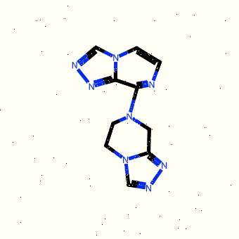 [CH]1c2nncn2CCN1c1nccn2cnnc12